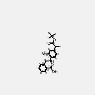 CC(C(=O)OC(C)(C)C)c1ccc(NCc2ccccc2C(=O)O)c(Br)c1